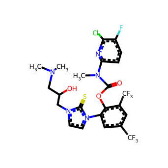 CN(C)CC(O)Cn1ccn(-c2cc(C(F)(F)F)cc(C(F)(F)F)c2OC(=O)N(C)c2ccc(F)c(Cl)n2)c1=S